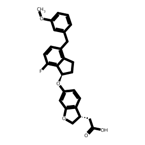 COc1cccc(Cc2ccc(F)c3c2CC[C@H]3Oc2ccc3c(c2)OC[C@H]3CC(=O)O)c1